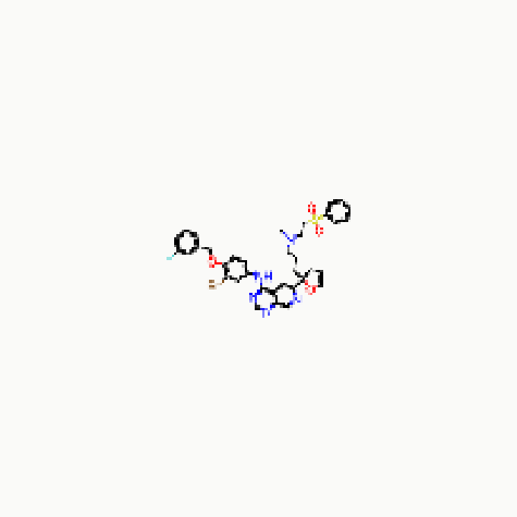 CN(CCCC1(c2cc3c(Nc4ccc(OCc5cccc(F)c5)c(Br)c4)ncnc3cn2)CC=CO1)CCS(=O)(=O)c1ccccc1